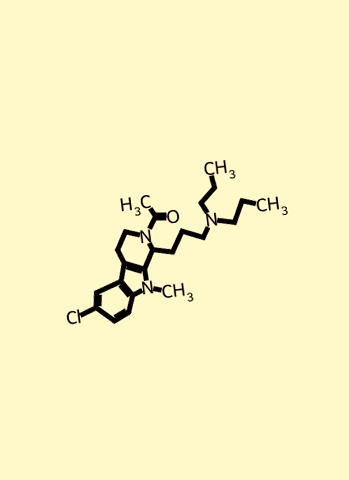 CCCN(CCC)CCCC1c2c(c3cc(Cl)ccc3n2C)CCN1C(C)=O